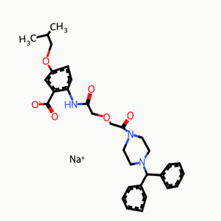 CC(C)COc1ccc(NC(=O)COCC(=O)N2CCN(C(c3ccccc3)c3ccccc3)CC2)c(C(=O)[O-])c1.[Na+]